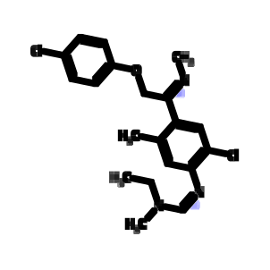 CCN(C)/C=N\c1cc(C)c(/C(COc2ccc(Cl)cc2)=N/C)cc1Cl